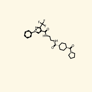 O=C(NCCNC(=O)[C@H]1CC[C@H](C(=O)N2CCCC2)CC1)c1cn(-c2ccccc2)nc1C(F)(F)F